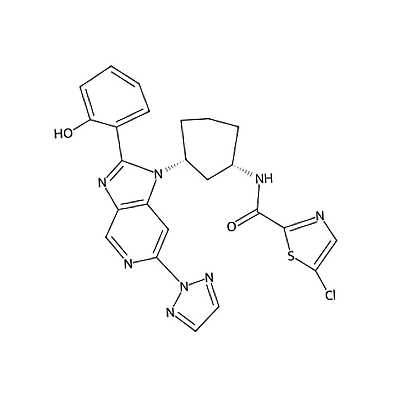 O=C(N[C@H]1CCC[C@@H](n2c(-c3ccccc3O)nc3cnc(-n4nccn4)cc32)C1)c1ncc(Cl)s1